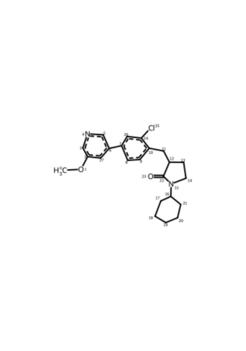 COc1cncc(-c2ccc(CC3CCN(C4CCCCC4)C3=O)c(Cl)c2)c1